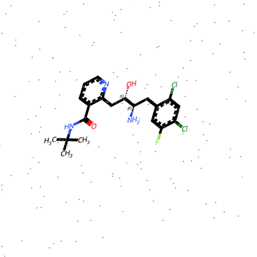 CC(C)(C)NC(=O)c1cccnc1C[C@H](O)[C@H](N)Cc1cc(F)c(Cl)cc1Cl